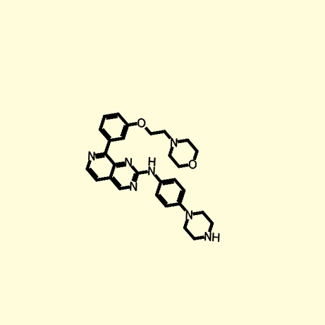 c1cc(OCCN2CCOCC2)cc(-c2nccc3cnc(Nc4ccc(N5CCNCC5)cc4)nc23)c1